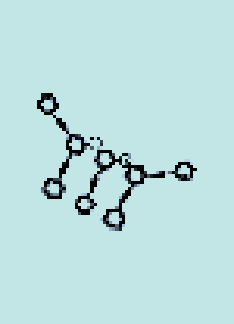 C(#Cc1cc(C#Cc2ccccc2)cc(Oc2cc(C#Cc3ccccc3)cc(Oc3cc(C#Cc4ccccc4)cc(C#Cc4ccccc4)c3)c2)c1)c1ccccc1